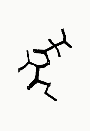 CCOC(=O)C(OC(=O)C(C)(C)C(C)C)C(C)I